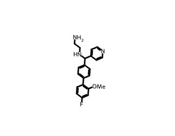 COc1cc(F)ccc1-c1ccc(C(NCCN)c2ccncc2)cc1